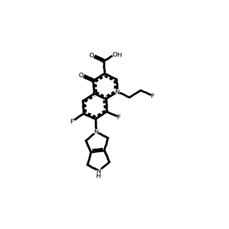 O=C(O)c1cn(CCF)c2c(F)c(N3CC4=C(CNC4)C3)c(F)cc2c1=O